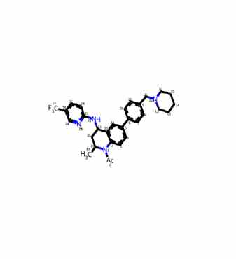 CC(=O)N1c2ccc(-c3ccc(CN4CCCCC4)cc3)cc2C(Nc2ccc(C(F)(F)F)cn2)CC1C